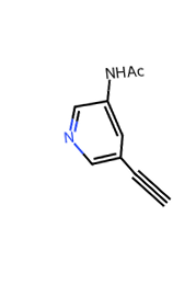 C#Cc1cncc(NC(C)=O)c1